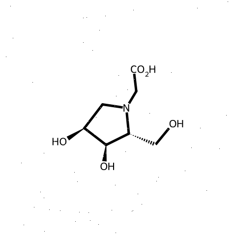 O=C(O)CN1C[C@H](O)[C@H](O)[C@H]1CO